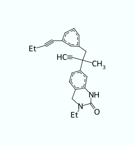 C#CC(C)(Cc1cccc(C#CCC)c1)c1ccc2c(c1)NC(=O)N(CC)C2